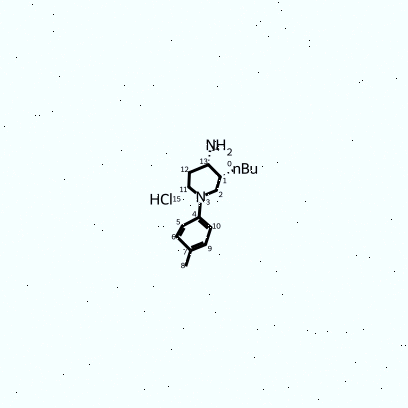 CCCC[C@@H]1CN(c2ccc(C)cc2)CC[C@@H]1N.Cl